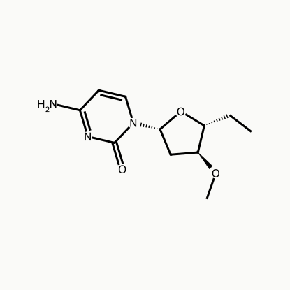 CC[C@H]1O[C@@H](n2ccc(N)nc2=O)C[C@@H]1OC